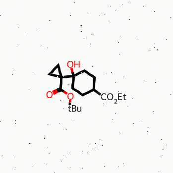 CCOC(=O)C1CCC(O)(C2(C(=O)OC(C)(C)C)CC2)CC1